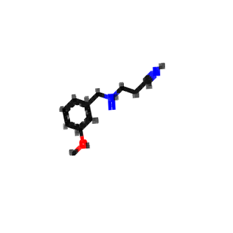 COc1cccc(CNCCC#N)c1